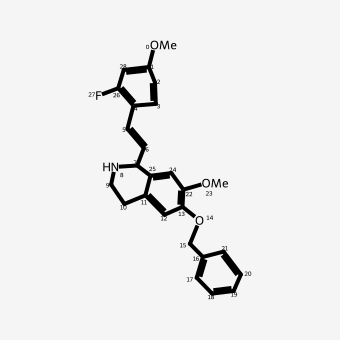 COc1ccc(C=CC2NCCc3cc(OCc4ccccc4)c(OC)cc32)c(F)c1